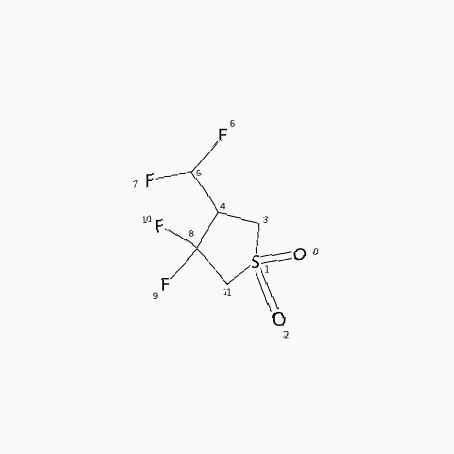 O=S1(=O)CC(C(F)F)C(F)(F)C1